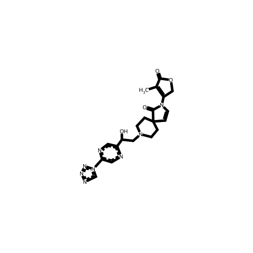 CC1=C(N2C=CC3(CCN(CC(O)c4cnc(-n5cnnn5)cn4)CC3)C2=O)COC1=O